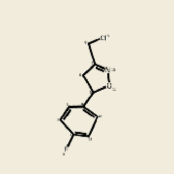 Fc1ccc(C2CC(CCl)=NO2)cc1